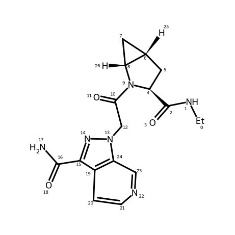 CCNC(=O)[C@@H]1C[C@H]2C[C@H]2N1C(=O)Cn1nc(C(N)=O)c2ccncc21